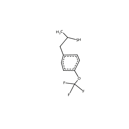 CC(S)Cc1ccc(OC(F)(F)F)cc1